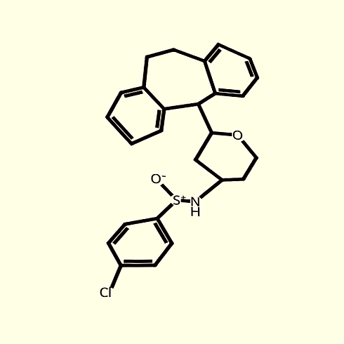 [O-][S+](NC1CCOC(C2c3ccccc3CCc3ccccc32)C1)c1ccc(Cl)cc1